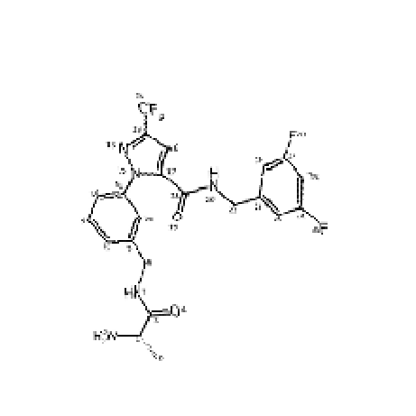 C[C@H](N)C(=O)NCc1cccc(-n2nc(C(F)(F)F)cc2C(=O)NCc2cc(F)cc(F)c2)c1